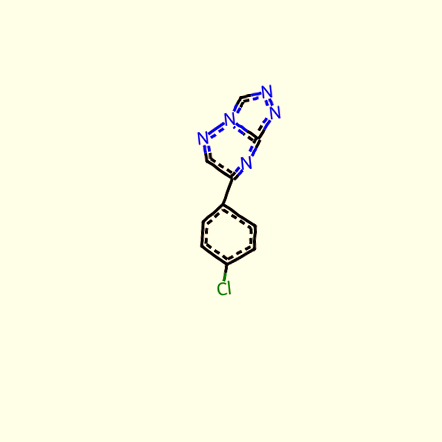 Clc1ccc(-c2cnn3cnnc3n2)cc1